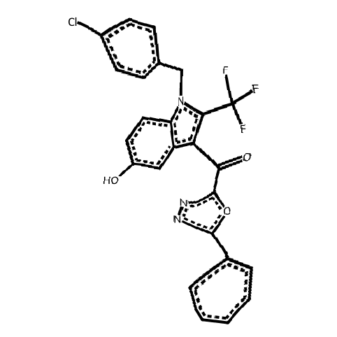 O=C(c1nnc(-c2ccccc2)o1)c1c(C(F)(F)F)n(Cc2ccc(Cl)cc2)c2ccc(O)cc12